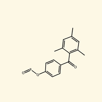 Cc1cc(C)c(C(=O)c2ccc(OP=O)cc2)c(C)c1